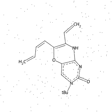 C=C/C=C\C1=C(C=C)Nc2nc(=O)n(C(C)(C)C)cc2O1